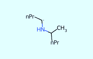 [CH2]CC[CH]NC(C)CCC